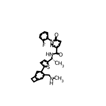 CNCc1cc2c(cc1-c1ccc([C@@H](C)NC(=O)c3ccc(=O)n(-c4ccccc4F)n3)s1)CC2